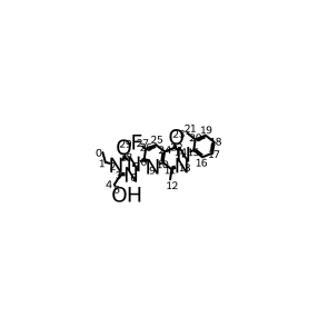 CCn1c(CO)nn(-c2nc3c(C)nn(-c4ccccc4C)c(=O)c3cc2F)c1=O